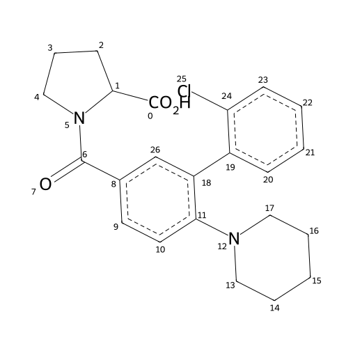 O=C(O)C1CCCN1C(=O)c1ccc(N2CCCCC2)c(-c2ccccc2Cl)c1